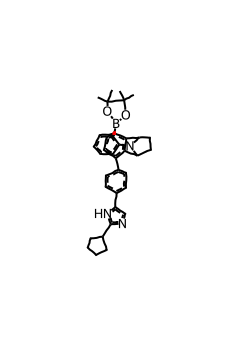 CC1(C)OB(c2ccc(-c3ccc(-c4cnc(C5CCCC5)[nH]4)cc3)c3c2C2CCC3N2c2ccccc2)OC1(C)C